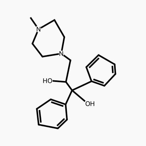 CN1CCN(CC(O)C(O)(c2ccccc2)c2ccccc2)CC1